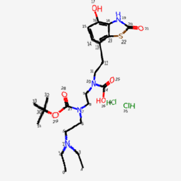 CCN(CC)CCN(CCN(CCc1ccc(O)c2[nH]c(=O)sc12)C(=O)O)C(=O)OC(C)(C)C.Cl.Cl